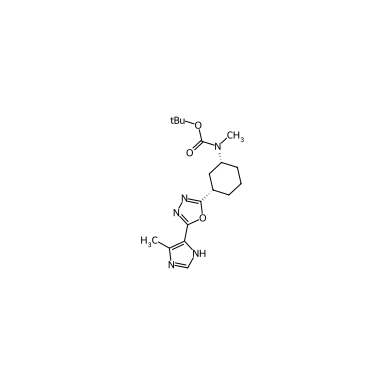 Cc1nc[nH]c1-c1nnc([C@H]2CCC[C@@H](N(C)C(=O)OC(C)(C)C)C2)o1